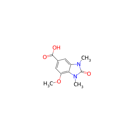 COc1cc(C(=O)O)cc2c1n(C)c(=O)n2C